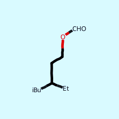 CCC(C)C(CC)CCOC=O